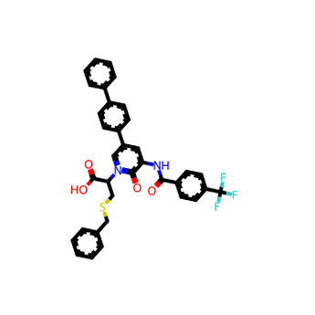 O=C(Nc1cc(-c2ccc(-c3ccccc3)cc2)cn(C(CSCc2ccccc2)C(=O)O)c1=O)c1ccc(C(F)(F)F)cc1